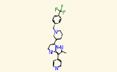 Cc1nn2c(C3CCCN(Cc4ccc(C(F)(F)F)cc4)C3)ccnc2c1-c1ccncc1